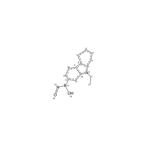 CCn1c2ccccc2c2ccc(B(O)N=O)cc21